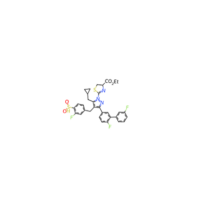 CCOC(=O)C1CSC(n2nc(-c3ccc(F)c(-c4cccc(F)c4)c3)c(Cc3ccc([SH](=O)=O)c(F)c3)c2CC2CC2)=N1